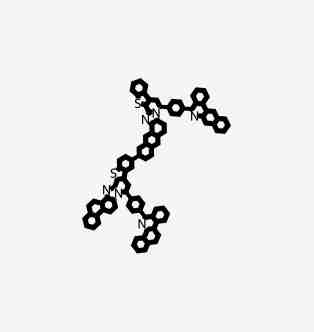 c1ccc2cc3c(cc2c1)nc(-c1ccc(-c2cc4c5ccccc5sc4c4nc5c6cc7cc(-c8ccc9sc%10c(cc(-c%11ccc(-c%12nc%13c%14ccccc%14ccc%13c%13ccccc%12%13)cc%11)n%11c%12ccc%13c%14ccccc%14ccc%13c%12nc%10%11)c9c8)ccc7cc6ccc5n24)cc1)c1ccccc13